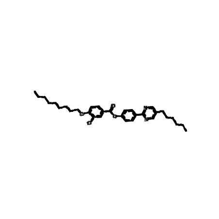 CCCCCCCCCOc1ccc(C(=O)Oc2ccc(-c3ncc(CCCCCC)cn3)cc2)cc1Cl